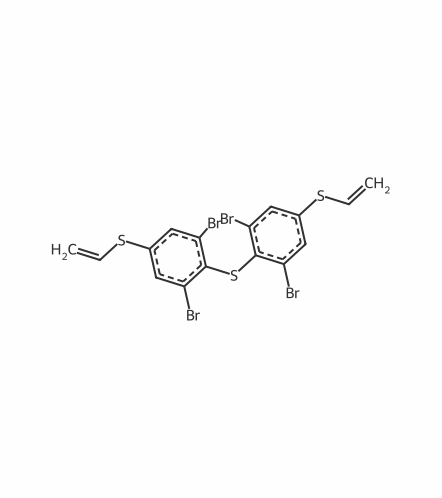 C=CSc1cc(Br)c(Sc2c(Br)cc(SC=C)cc2Br)c(Br)c1